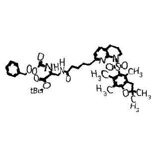 Cc1c(C)c(S(=O)(=O)N2CCCc3ccc(CCCCC(=O)NCC(NC(=O)OOCc4ccccc4)C(=O)OC(C)(C)C)nc32)c(C)c2c1OC(C)(C)C2